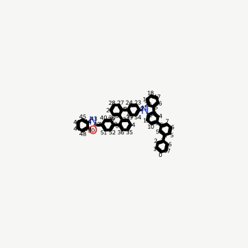 c1ccc(-c2cccc(-c3ccc4c(c3)c3ccccc3n4-c3ccc(-c4ccccc4-c4ccccc4-c4ccc(-c5nc6ccccc6o5)cc4)cc3)c2)cc1